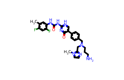 Cc1cc(NC(=O)Nc2nc(=O)c(-c3ccc(CN(CCCN)Cc4nccn4C)cc3)c[nH]2)c(F)cc1F